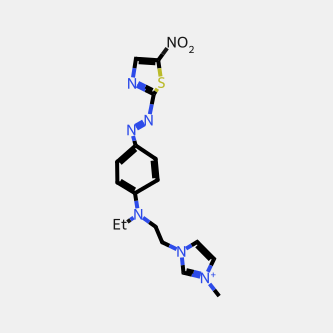 CCN(CCn1cc[n+](C)c1)c1ccc(N=Nc2ncc([N+](=O)[O-])s2)cc1